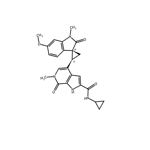 COc1ccc2c(c1)N(C)C(=O)[C@@]21C[C@H]1c1cn(C)c(=O)c2[nH]c(C(=O)NC3CC3)cc12